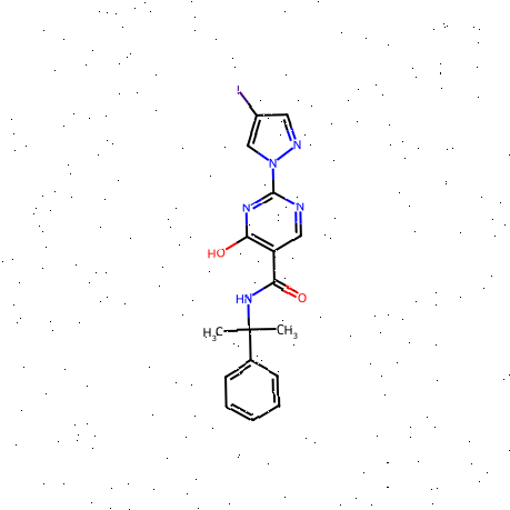 CC(C)(NC(=O)c1cnc(-n2cc(I)cn2)nc1O)c1ccccc1